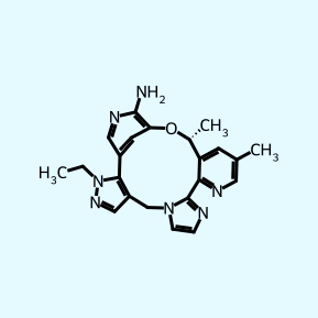 CCn1ncc2c1-c1cnc(N)c(c1)O[C@H](C)c1cc(C)cnc1-c1nccn1C2